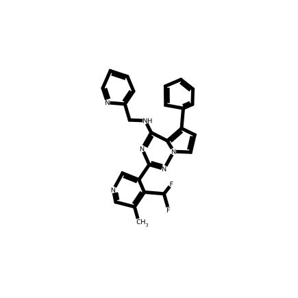 Cc1cncc(-c2nc(NCc3ccccn3)c3c(-c4ccccc4)ccn3n2)c1C(F)F